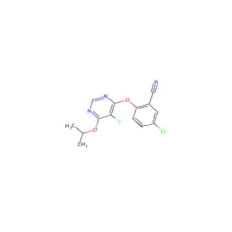 CC(C)Oc1ncnc(Oc2ccc(Cl)cc2C#N)c1F